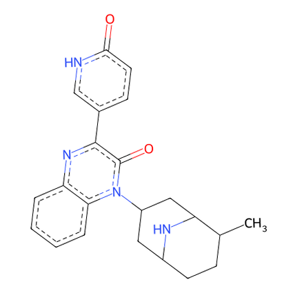 CC1CCC2CC(n3c(=O)c(-c4ccc(=O)[nH]c4)nc4ccccc43)CC1N2